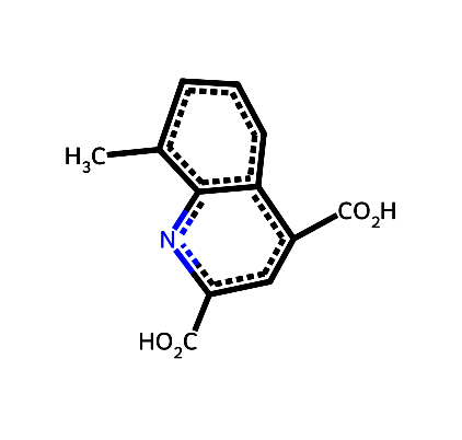 Cc1cccc2c(C(=O)O)cc(C(=O)O)nc12